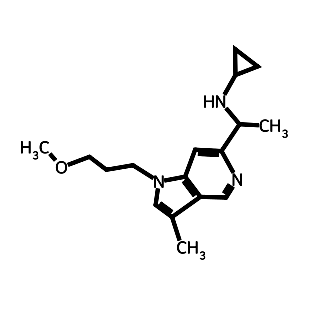 COCCCn1cc(C)c2cnc(C(C)NC3CC3)cc21